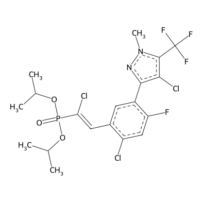 CC(C)OP(=O)(OC(C)C)C(Cl)=Cc1cc(-c2nn(C)c(C(F)(F)F)c2Cl)c(F)cc1Cl